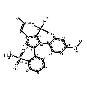 CC=Cn1nc(-c2ccccc2S(N)(=O)=O)c(-c2ccc(OC)cc2)c1C(F)(F)F